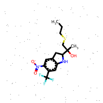 CCCSCC(C)(O)C1Cc2cc([N+](=O)[O-])c(C(F)(F)F)cc2N1